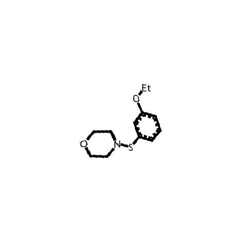 CCOc1cccc(SN2CCOCC2)c1